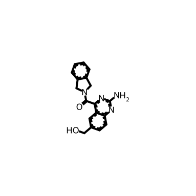 Nc1nc(C(=O)N2Cc3ccccc3C2)c2cc(CO)ccc2n1